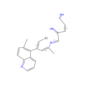 CC\C=C(/C=C(C)\N=C\C(=N)/C=C\C=N)c1c(C)ccc2ncccc12